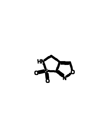 O=S1(=O)NCc2conc21